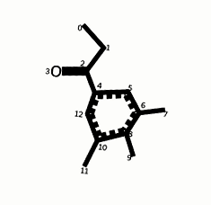 CCC(=O)c1cc(C)c(C)c(C)c1